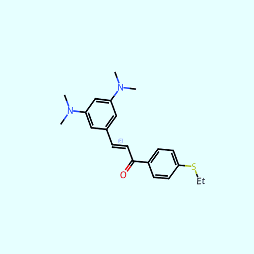 CCSc1ccc(C(=O)/C=C/c2cc(N(C)C)cc(N(C)C)c2)cc1